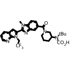 Cn1c(-c2cc3cccnc3n2CC(F)(F)F)nc2cc(C(=O)N3CCCC(N(C(=O)O)C(C)(C)C)C3)ccc21